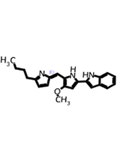 CCCCC1=N/C(=C/c2[nH]c(-c3cc4ccccc4[nH]3)cc2OC)C=C1